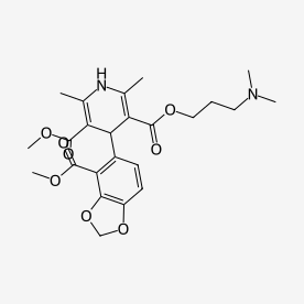 COC(=O)C1=C(C)NC(C)=C(C(=O)OCCCN(C)C)C1c1ccc2c(c1C(=O)OC)OCO2